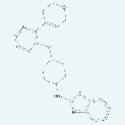 C1=C(c2nccnc2OC2CCC(Nc3nc4ccccc4s3)CC2)CCOC1